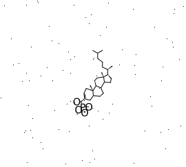 COP(=O)(OC)C(=O)C1=CC[C@@]2(C)C(CCC3C2CC[C@@]2(C)C3CC[C@@H]2[C@H](C)CCCC(C)C)C1